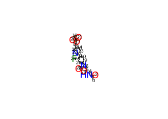 CC(=O)NC[C@H]1CN(c2ccc(-c3ccc(COS(C)(=O)=O)cn3)c(F)c2)C(=O)O1